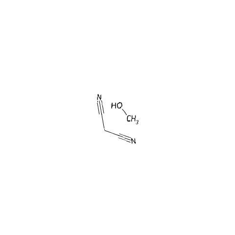 CO.N#CCC#N